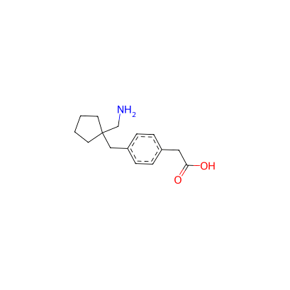 NCC1(Cc2ccc(CC(=O)O)cc2)CCCC1